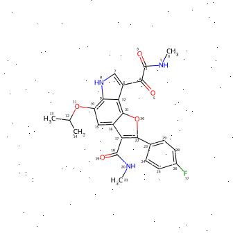 CNC(=O)C(=O)c1c[nH]c2c(OC(C)C)cc3c(C(=O)NC)c(-c4ccc(F)cc4)oc3c12